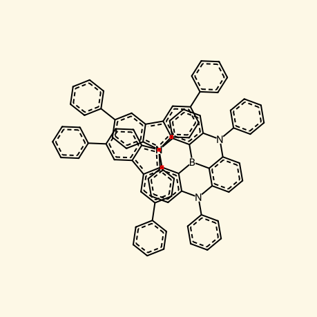 c1ccc(-c2ccc3c(c2)c2cc(-c4ccccc4)ccc2n3-c2cccc3c2B2c4c(cccc4N(c4ccccc4)c4cccc(-n5c6ccc(-c7ccccc7)cc6c6cc(-c7ccccc7)ccc65)c42)N3c2ccccc2)cc1